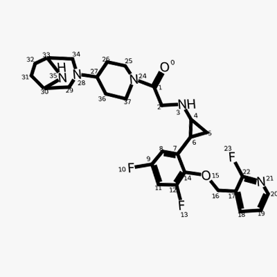 O=C(CNC1CC1c1cc(F)cc(F)c1OCc1cccnc1F)N1CCC(N2CC3CCC(C2)N3)CC1